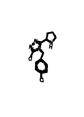 Clc1ccc(Cn2c(Cl)nnc2C2CCCN2)cc1